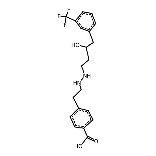 O=C(O)c1ccc(CCNNCCC(O)Cc2cccc(C(F)(F)F)c2)cc1